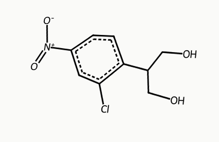 O=[N+]([O-])c1ccc(C(CO)CO)c(Cl)c1